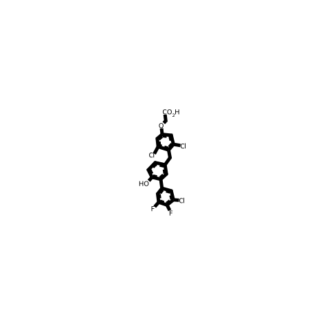 O=C(O)COc1cc(Cl)c(Cc2ccc(O)c(-c3cc(F)c(F)c(Cl)c3)c2)c(Cl)c1